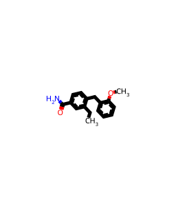 CCc1cc(C(N)=O)ccc1Cc1ccccc1OC